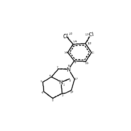 CN1C2CCCC1CN(c1ccc(Cl)c(Cl)c1)CC2